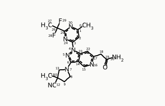 Cc1cc(-n2nc(N3CCC(C)(C#N)C3)c3cnc(CC(N)=O)cc32)nc(C(C)(F)F)n1